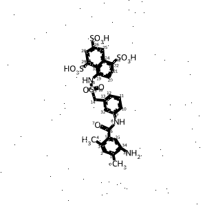 Cc1cc(C)c(C(=O)Nc2cccc(CS(=O)(=O)Nc3ccc(S(=O)(=O)O)c4cc(S(=O)(=O)O)cc(S(=O)(=O)O)c34)c2)cc1N